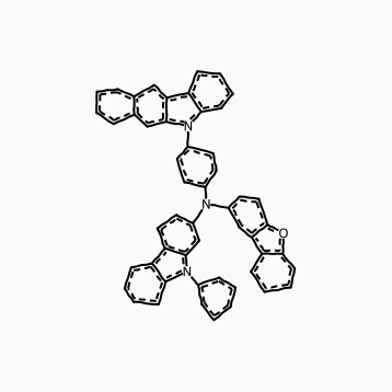 c1ccc(-n2c3ccccc3c3ccc(N(c4ccc(-n5c6ccccc6c6cc7ccccc7cc65)cc4)c4ccc5oc6ccccc6c5c4)cc32)cc1